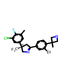 CCc1cc(C2=NC[C@@](c3cc(C)c(F)c(Cl)c3)(C(F)(F)F)C2)ccc1C1(C)CNC1